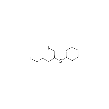 ICCCC(CI)SC1CCCCC1